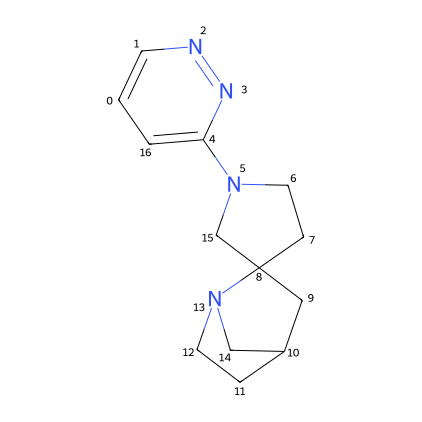 c1cnnc(N2CCC3(CC4CCN3C4)C2)c1